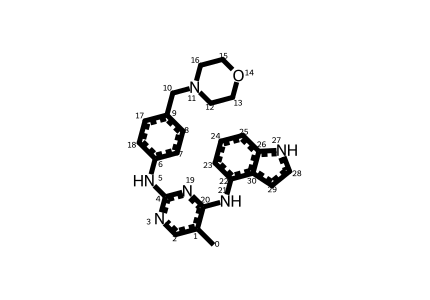 Cc1cnc(Nc2ccc(CN3CCOCC3)cc2)nc1Nc1cccc2[nH]ccc12